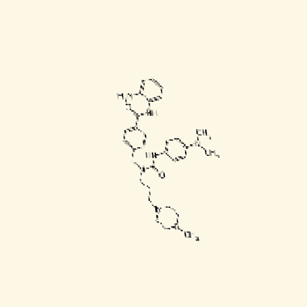 CN1CCN(CCCN(Cc2ccc(C(=O)Nc3ccccc3N)cc2)C(=O)Nc2ccc(N(C)C)cc2)CC1